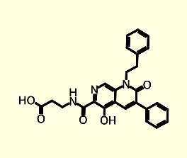 O=C(O)CCNC(=O)c1ncc2c(cc(-c3ccccc3)c(=O)n2CCc2ccccc2)c1O